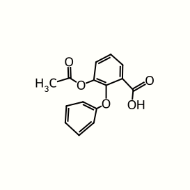 CC(=O)Oc1cccc(C(=O)O)c1Oc1ccccc1